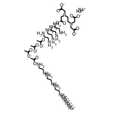 CC(=O)[O-].CC(=O)[O-].CC(=O)[O-].CC(=O)[O-].NCCN.NCCN.NCCN.NCCN.NCCN.NCCN.NCCN.O=C([O-])CN(CCN(CC(=O)[O-])CC(=O)[O-])CC(=O)[O-].[Na+].[Na+].[Na+].[Na+].[Na+].[Na+].[Na+].[Na+]